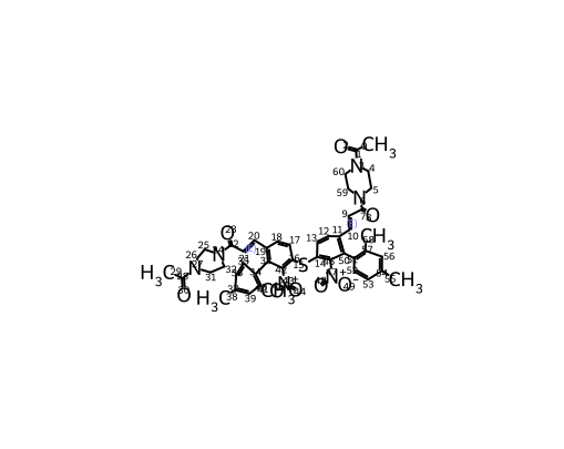 CC(=O)N1CCN(C(=O)/C=C/c2ccc(Sc3ccc(/C=C/C(=O)N4CCN(C(C)=O)CC4)c(-c4ccc(C)cc4C)c3[N+](=O)[O-])c([N+](=O)[O-])c2-c2ccc(C)cc2C)CC1